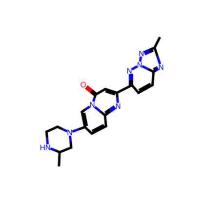 Cc1nc2ccc(-c3cc(=O)n4cc(N5CCNC(C)C5)ccc4n3)nn2n1